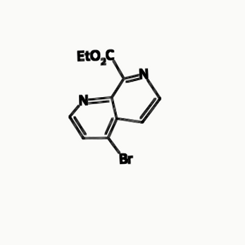 CCOC(=O)c1nccc2c(Br)ccnc12